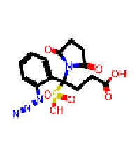 [N-]=[N+]=Nc1ccccc1C(CCC(=O)O)(N1C(=O)CCC1=O)S(=O)(=O)O